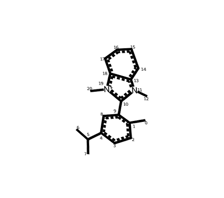 Cc1ccc(C(C)C)cc1-c1n(C)c2ccccc2[n+]1C